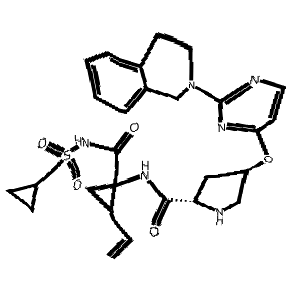 C=CC1CC1(NC(=O)[C@@H]1C[C@@H](Oc2ccnc(N3CCc4ccccc4C3)n2)CN1)C(=O)NS(=O)(=O)C1CC1